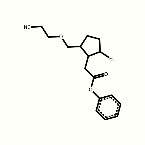 [CH2]CC1C[CH]C(COCCC#N)C1CC(=O)Oc1ccccc1